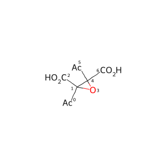 CC(=O)C1(C(=O)O)OC1(C(C)=O)C(=O)O